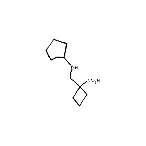 O=C(O)C1(CNC2CCCC2)CCC1